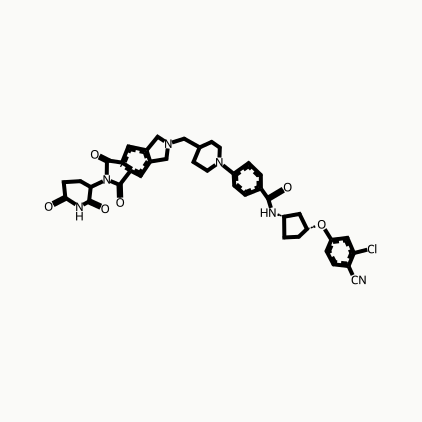 N#Cc1ccc(O[C@@H]2CC[C@H](NC(=O)c3ccc(N4CCC(CN5Cc6cc7c(cc6C5)C(=O)N(C5CCC(=O)NC5=O)C7=O)CC4)cc3)C2)cc1Cl